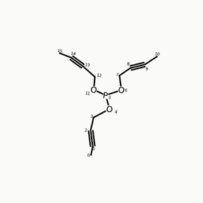 CC#CCOP(OCC#CC)OCC#CC